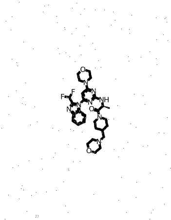 C[C@H](Nc1nc(N2CCOCC2)cc(-n2c(C(F)F)nc3ccccc32)n1)C(=O)N1CCC(CN2CCOCC2)CC1